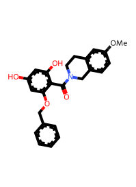 COc1ccc2c(c1)CCN(C(=O)c1c(O)cc(O)cc1OCc1ccccc1)C2